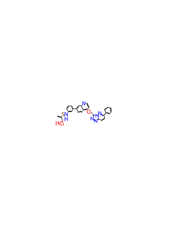 C=C(CO)SNc1cccc(-c2ccc3c(OCc4nnc5ccc(-c6ccccc6)nn45)ccnc3c2)c1